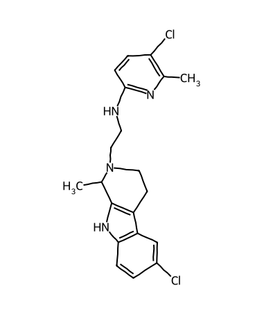 Cc1nc(NCCN2CCc3c([nH]c4ccc(Cl)cc34)C2C)ccc1Cl